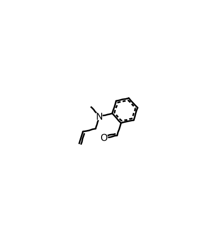 C=CCN(C)c1ccccc1C=O